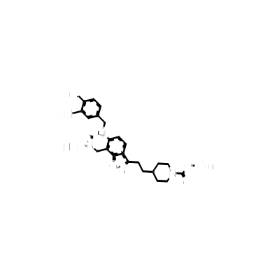 CN(C)Cc1c(OCc2ccc(Cl)c(Cl)c2)ccc2c(CCC3CCN(C(=O)OC(C)(C)C)CC3)noc12